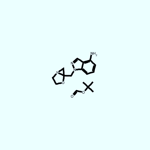 CC(C)(C)OC=O.Nc1cccc2c1cnn2CC12CN1CCO2